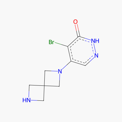 O=c1[nH]ncc(N2CC3(CNC3)C2)c1Br